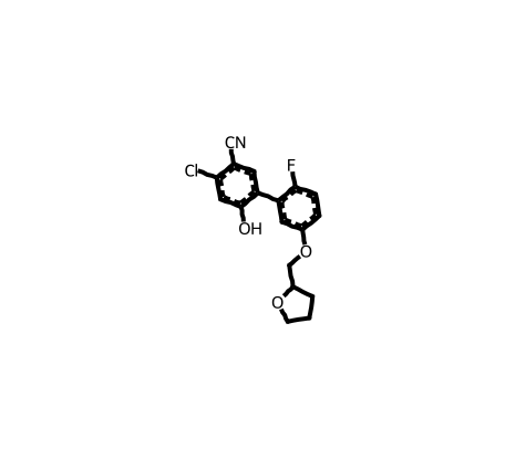 N#Cc1cc(-c2cc(OCC3CCCO3)ccc2F)c(O)cc1Cl